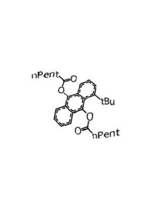 CCCCCC(=O)Oc1c2ccccc2c(OC(=O)CCCCC)c2c(C(C)(C)C)cccc12